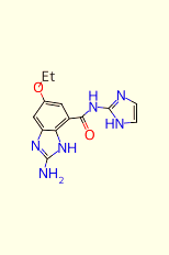 CCOc1cc(C(=O)Nc2ncc[nH]2)c2[nH]c(N)nc2c1